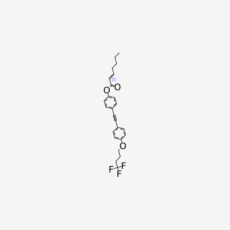 CCCC/C=C/C(=O)Oc1ccc(C#Cc2ccc(OCCCC(F)(F)F)cc2)cc1